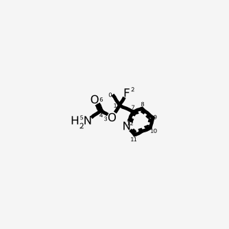 CC(F)(OC(N)=O)c1ccccn1